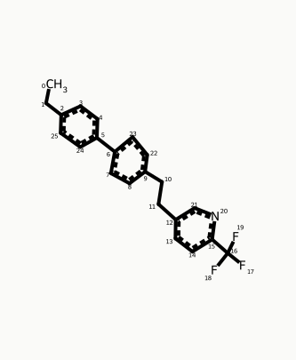 CCc1ccc(-c2ccc(CCc3ccc(C(F)(F)F)nc3)cc2)cc1